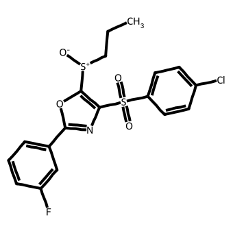 CCC[S+]([O-])c1oc(-c2cccc(F)c2)nc1S(=O)(=O)c1ccc(Cl)cc1